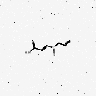 C=CC[S+]([O-])C=CC(N)=O